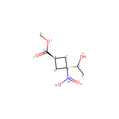 COC(=O)[C@H]1C[C@@](C(C)O)([N+](=O)[O-])C1